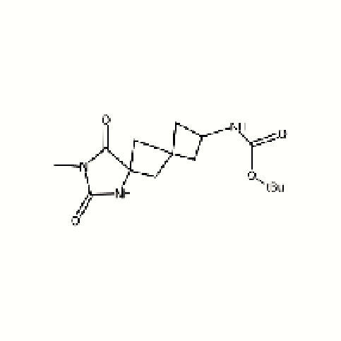 CN1C(=O)NC2(CC3(CC(NC(=O)OC(C)(C)C)C3)C2)C1=O